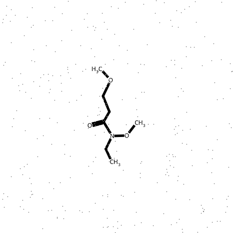 CCN(OC)C(=O)CCOC